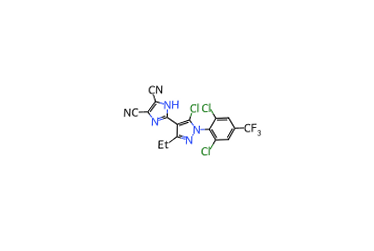 CCc1nn(-c2c(Cl)cc(C(F)(F)F)cc2Cl)c(Cl)c1-c1nc(C#N)c(C#N)[nH]1